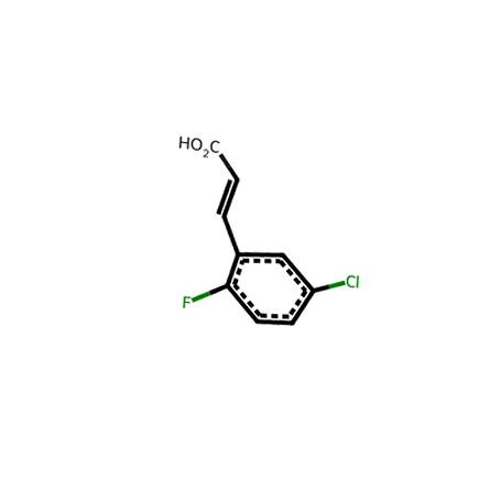 O=C(O)C=Cc1cc(Cl)ccc1F